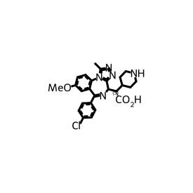 COc1ccc2c(c1)C(c1ccc(Cl)cc1)=NC([C@@H](C(=O)O)C1CCNCC1)c1nnc(C)n1-2